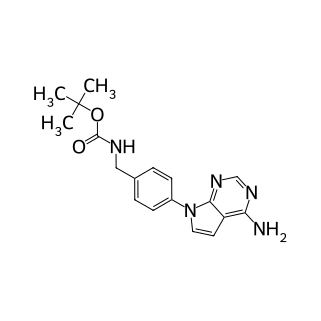 CC(C)(C)OC(=O)NCc1ccc(-n2ccc3c(N)ncnc32)cc1